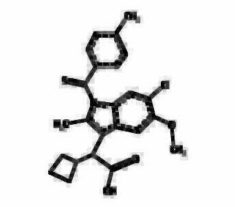 COc1cc2c(C(C(=O)O)C3CCC3)c(C)n(C(=S)c3ccc(C)cc3)c2cc1Cl